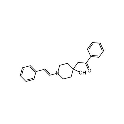 O=C(CC1(O)CCN(C=Cc2ccccc2)CC1)c1ccccc1